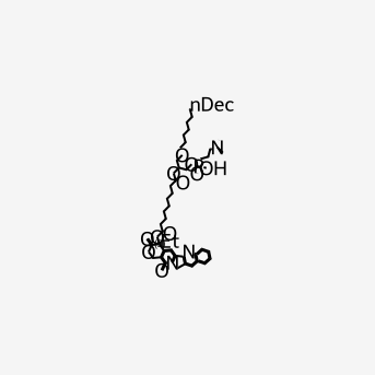 CCCCCCCCCCCCCCCCCOCC(COP(=O)(O)CCCN(C)C)OC(=O)CCCCCCCC(=O)O[C@]1(CC)C(=O)OCc2c1cc1n(c2=O)Cc2cc3ccccc3nc2-1